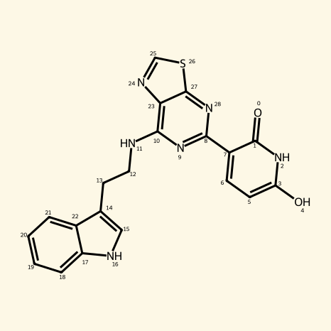 O=c1[nH]c(O)ccc1-c1nc(NCCc2c[nH]c3ccccc23)c2ncsc2n1